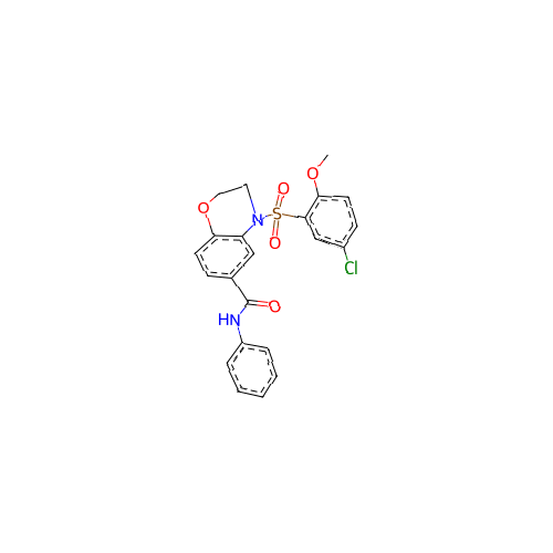 COc1ccc(Cl)cc1S(=O)(=O)N1CCOc2ccc(C(=O)Nc3ccccc3)cc21